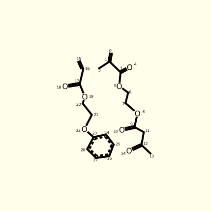 C=C(C)C(=O)OCCOC(=O)CC(C)=O.C=CC(=O)OCCOc1ccccc1